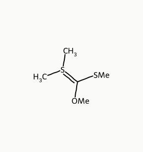 COC(SC)=S(C)C